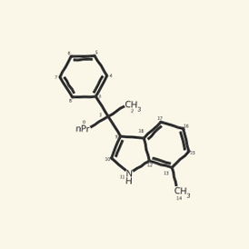 CCCC(C)(c1ccccc1)c1c[nH]c2c(C)cccc12